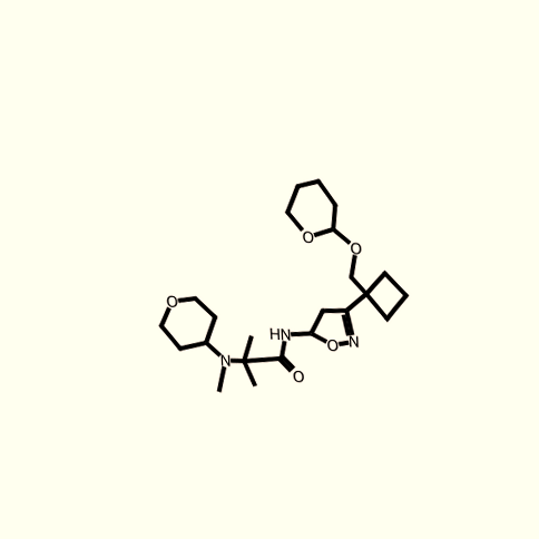 CN(C1CCOCC1)C(C)(C)C(=O)NC1CC(C2(COC3CCCCO3)CCC2)=NO1